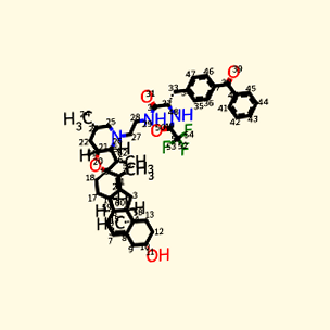 CC1=C2C[C@H]3[C@@H](CC=C4C[C@@H](O)CC[C@@]43C)[C@@H]2CC[C@]12O[C@@H]1C[C@H](C)CN(CCNC(=O)[C@H](Cc3ccc(C(=O)c4ccccc4)cc3)NC(=O)C(F)(F)F)[C@H]1[C@H]2C